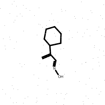 C=C(C=NO)C1CCCCC1